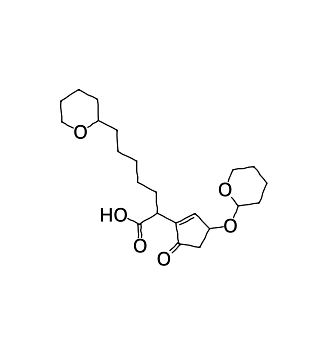 O=C1CC(OC2CCCCO2)C=C1C(CCCCCC1CCCCO1)C(=O)O